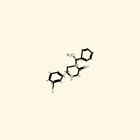 C[C@@H](c1ccccc1)N1C[C@@H](c2cccc(F)c2)OCC1=O